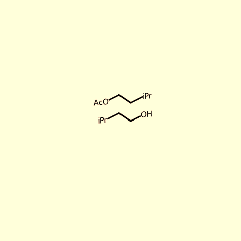 CC(=O)OCCC(C)C.CC(C)CCO